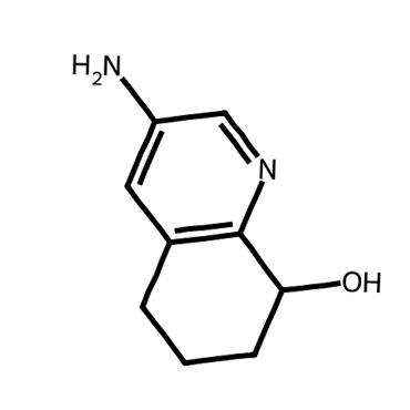 Nc1cnc2c(c1)CCCC2O